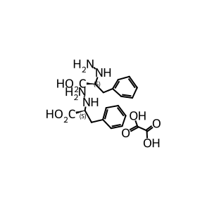 NN[C@@H](Cc1ccccc1)C(=O)O.NN[C@@H](Cc1ccccc1)C(=O)O.O=C(O)C(=O)O